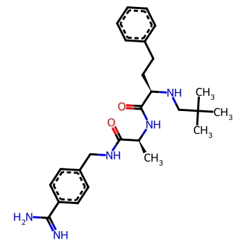 C[C@H](NC(=O)[C@@H](CCc1ccccc1)NCC(C)(C)C)C(=O)NCc1ccc(C(=N)N)cc1